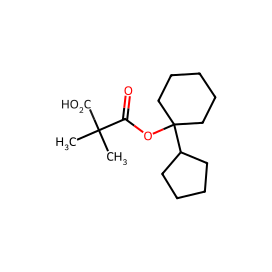 CC(C)(C(=O)O)C(=O)OC1(C2CCCC2)CCCCC1